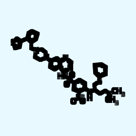 CN(C)CCC(CSc1ccccc1)Nc1ccc(S(=O)(=O)Nc2ncnc3cc(N4CCN(Cc5ccccc5-c5ccsc5)CC4)ccc23)cc1[N+](=O)[O-]